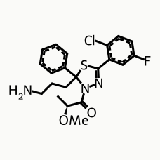 CO[C@@H](C)C(=O)N1N=C(c2cc(F)ccc2Cl)SC1(CCCN)c1ccccc1